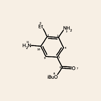 CCc1c(N)cc(C(=O)OCC(C)C)cc1N